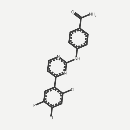 NC(=O)c1ccc(Nc2nccc(-c3cc(F)c(Cl)cc3Cl)n2)cc1